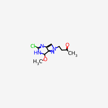 COC1NC(Cl)=Nc2cn(CCC(C)=O)nc21